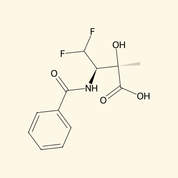 C[C@](O)(C(=O)O)[C@@H](NC(=O)c1ccccc1)C(F)F